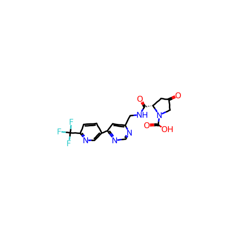 O=C1C[C@@H](C(=O)NCc2cc(-c3ccc(C(F)(F)F)nc3)ncn2)N(C(=O)O)C1